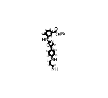 Cc1ccc(C(=O)OC(C)(C)C)cc1Nc1ncc(-c2ccc(N/C=C\C=N)cc2)o1